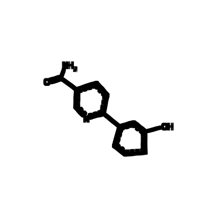 NC(=O)c1ccc(-c2cccc(O)c2)nc1